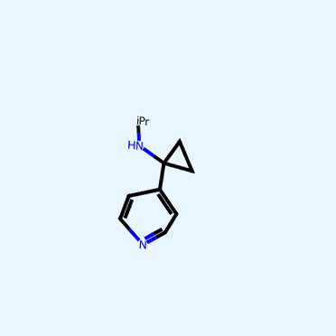 CC(C)NC1(c2ccncc2)CC1